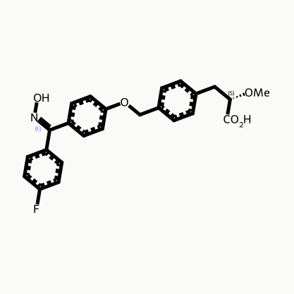 CO[C@@H](Cc1ccc(COc2ccc(/C(=N\O)c3ccc(F)cc3)cc2)cc1)C(=O)O